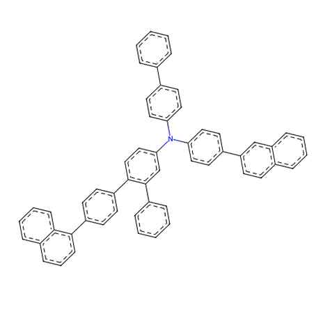 c1ccc(-c2ccc(N(c3ccc(-c4ccc5ccccc5c4)cc3)c3ccc(-c4ccc(-c5cccc6ccccc56)cc4)c(-c4ccccc4)c3)cc2)cc1